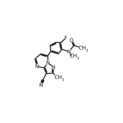 CC(=O)N(C)c1cc(-c2ccnc3c(C#N)c(C)nn23)ccc1F